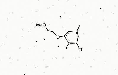 COCCOc1cc(C)cc(Cl)c1C